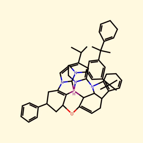 CC(C)C1=CCN2C(=C1)N1C3=C(C=CCC3)C3CC=C4OC5CC(c6ccccc6)CC6=C5[PH]2(C4C31)C1N6C=CN1c1cc(C(C)(C)C)cc(C(C)(C)C2=CCCC=C2)c1